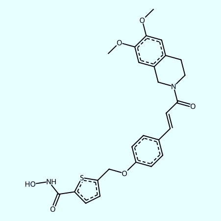 COc1cc2c(cc1OC)CN(C(=O)C=Cc1ccc(OCc3ccc(C(=O)NO)s3)cc1)CC2